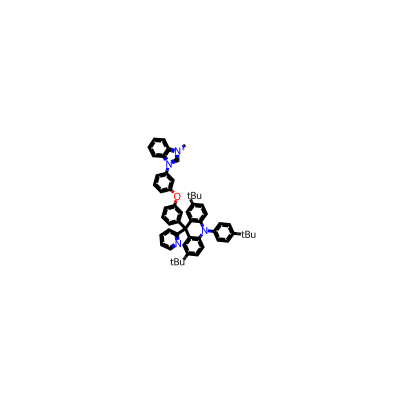 C[n+]1cn(-c2cccc(Oc3cccc(C4(c5ccccn5)c5cc(C(C)(C)C)ccc5N(c5ccc(C(C)(C)C)cc5)c5ccc(C(C)(C)C)cc54)c3)c2)c2ccccc21